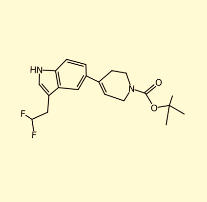 CC(C)(C)OC(=O)N1CC=C(c2ccc3[nH]cc(CC(F)F)c3c2)CC1